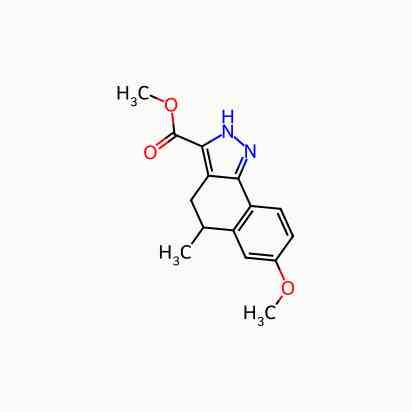 COC(=O)c1[nH]nc2c1CC(C)c1cc(OC)ccc1-2